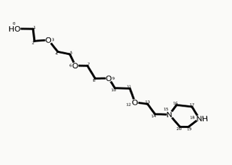 OCCOCCOCCOCCOCCN1CCNCC1